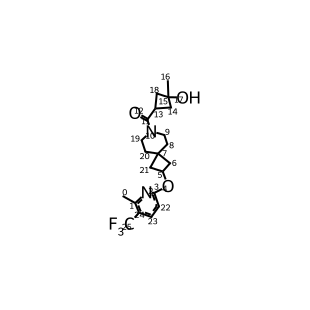 Cc1nc(OC2CC3(CCN(C(=O)C4CC(C)(O)C4)CC3)C2)ccc1C(F)(F)F